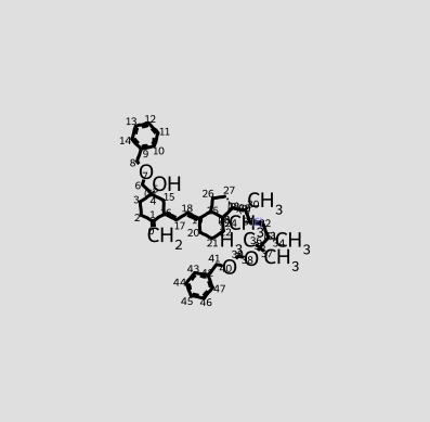 C=C1CC[C@@](O)(COCc2ccccc2)CC1=CC=C1CCC[C@@]2(C)C1CC[C@@H]2[C@H](C)/C=C/[C@H](C)C(C)(C)OCOCc1ccccc1